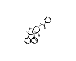 O=C(O[C@@H]1C[C@H]2C[C@H](c3ccccc3)[C@@H](C1)N2N1C(=O)c2ccccc2C1=O)c1ccccc1